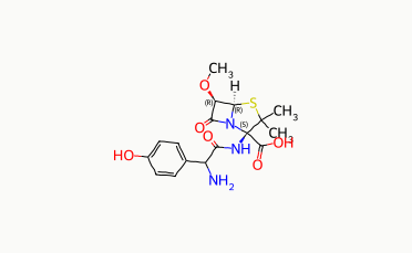 CO[C@@H]1C(=O)N2[C@@H]1SC(C)(C)[C@]2(NC(=O)C(N)c1ccc(O)cc1)C(=O)O